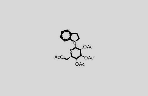 CC(=O)OC[C@H]1S[C@@H](N2CCc3ccccc32)[C@H](OC(C)=O)[C@@H](OC(C)=O)[C@@H]1OC(C)=O